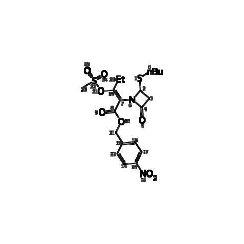 CCCCSC1CC(=O)N1C(C(=O)OCc1ccc([N+](=O)[O-])cc1)=C(CC)OS(C)(=O)=O